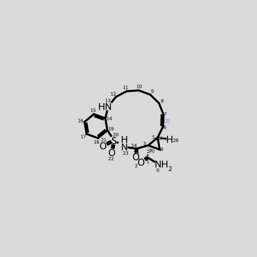 NC(=O)[C@@]12C[C@H]1/C=C\CCCCCNc1ccccc1S(=O)(=O)NC2=O